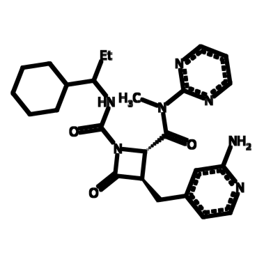 CCC(NC(=O)N1C(=O)[C@H](Cc2ccnc(N)c2)[C@H]1C(=O)N(C)c1ncccn1)C1CCCCC1